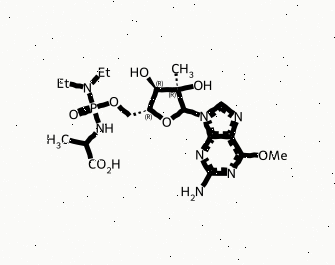 CCN(CC)P(=O)(NC(C)C(=O)O)OC[C@H]1OC(n2cnc3c(OC)nc(N)nc32)[C@](C)(O)[C@@H]1O